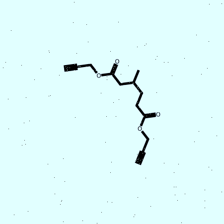 C#CCOC(=O)CCC(C)CC(=O)OCC#C